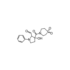 O=CC1N(c2ccccc2)CCC1(O)C(=O)N1CCS(=O)(=O)CC1